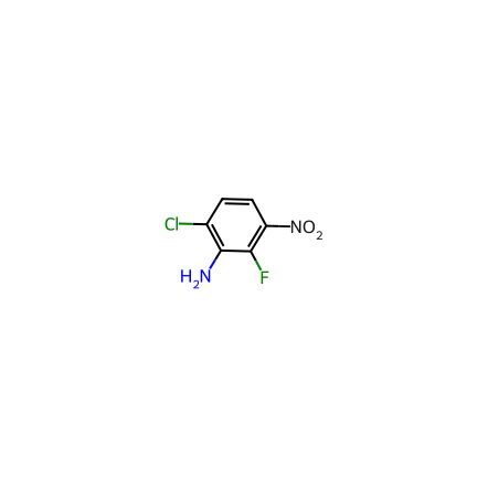 Nc1c(Cl)ccc([N+](=O)[O-])c1F